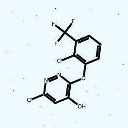 Oc1cc(Cl)nnc1Oc1cccc(C(F)(F)F)c1Cl